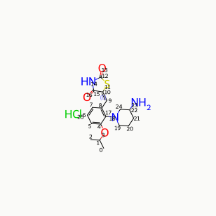 CC(C)Oc1cccc(/C=C2/SC(=O)NC2=O)c1N1CCCC(N)C1.Cl